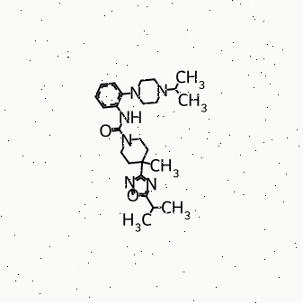 CC(C)c1nc(C2(C)CCN(C(=O)Nc3ccccc3N3CCN(C(C)C)CC3)CC2)no1